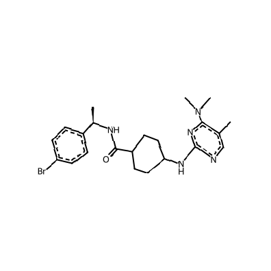 Cc1cnc(NC2CCC(C(=O)N[C@H](C)c3ccc(Br)cc3)CC2)nc1N(C)C